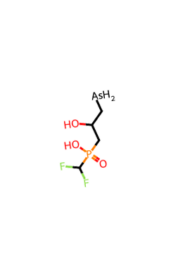 O=P(O)(CC(O)C[AsH2])C(F)F